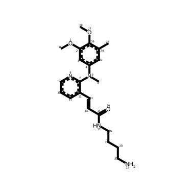 COc1cc(N(C)c2ncccc2/C=C/C(=O)NCCCCN)cc(C)c1OC